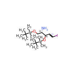 CC(C)(C)[Si](C)(C)OC[C@H](N)[C@@H](/C=C/I)O[Si](C)(C)C(C)(C)C